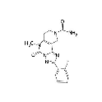 Cn1c2c(c3nc(-c4ccccc4F)nn3c1=O)CN(C(N)=O)CC2